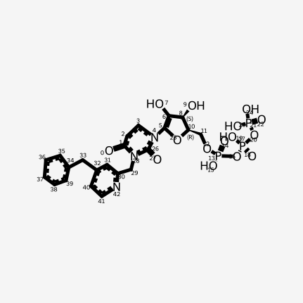 O=c1ccn(C2=C(O)[C@@H](O)[C@@H](COP(=O)(O)OP(=O)(O)OP(=O)(O)O)O2)c(=O)n1Cc1cc(Cc2ccccc2)ccn1